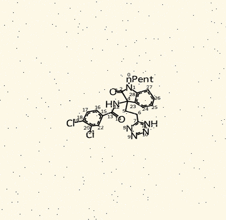 CCCCCN1C(=O)C(CCc2nnn[nH]2)(NC(=O)c2ccc(Cl)c(Cl)c2)c2ccccc21